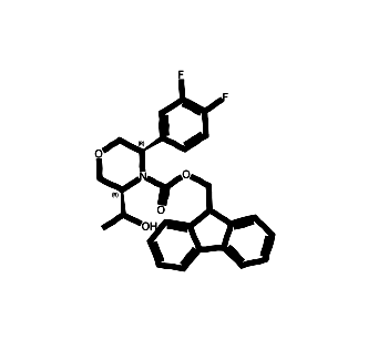 CC(O)[C@H]1COC[C@@H](c2ccc(F)c(F)c2)N1C(=O)OCC1c2ccccc2-c2ccccc21